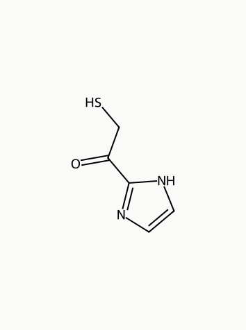 O=C(CS)c1ncc[nH]1